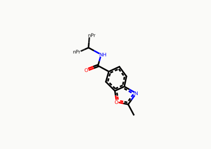 CCCC(CCC)NC(=O)c1ccc2nc(C)oc2c1